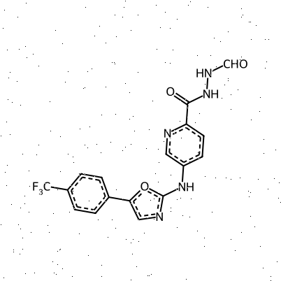 O=CNNC(=O)c1ccc(Nc2ncc(-c3ccc(C(F)(F)F)cc3)o2)cn1